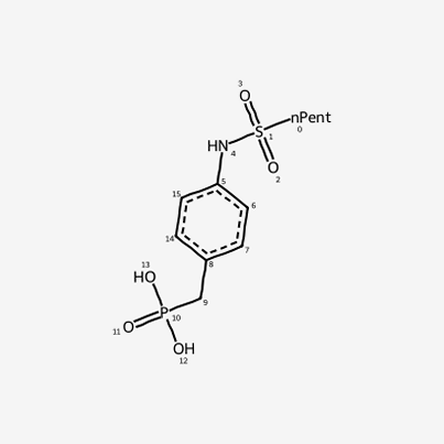 CCCCCS(=O)(=O)Nc1ccc(CP(=O)(O)O)cc1